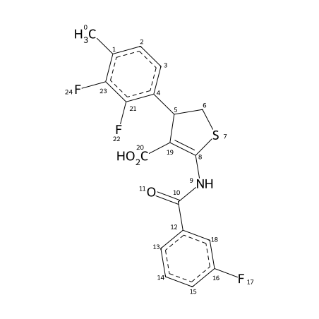 Cc1ccc(C2CSC(NC(=O)c3cccc(F)c3)=C2C(=O)O)c(F)c1F